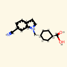 N#Cc1ccc2ccn(C[C@H]3CC[C@H](C(=O)O)CC3)c2c1